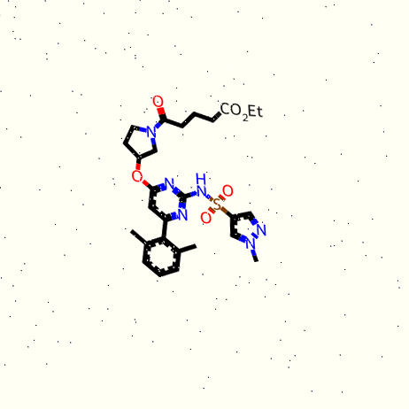 CCOC(=O)CCCC(=O)N1CCC(Oc2cc(-c3c(C)cccc3C)nc(NS(=O)(=O)c3cnn(C)c3)n2)C1